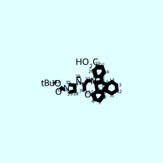 Cc1cccc2c1-c1c(C3CCCCC3)c3ccc(C(=O)O)cc3n1C[C@@H](N(C)[C@@H]1CCN(C(=O)OC(C)(C)C)C1)CO2